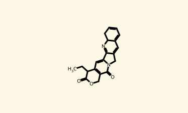 CCC1C(=O)OCc2c1cc1n(c2=O)CC2=CC3=CC=CCC3N=C21